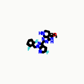 CC12CCNc3nc(-c4nn(Cc5c(F)cccc5F)c5ncc(F)cc45)nc(c31)NC2=O